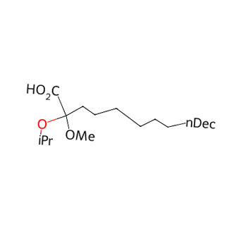 CCCCCCCCCCCCCCCCC(OC)(OC(C)C)C(=O)O